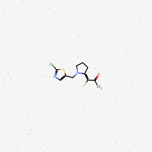 O=C(/C(F)=C1\CCCN1Cc1cnc(Cl)s1)C(F)(F)F